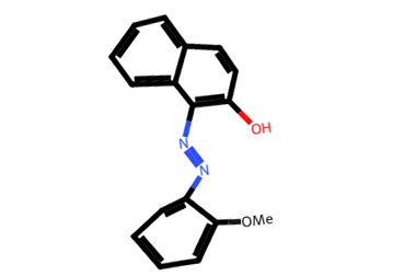 COc1ccccc1/N=N/c1c(O)ccc2ccccc12